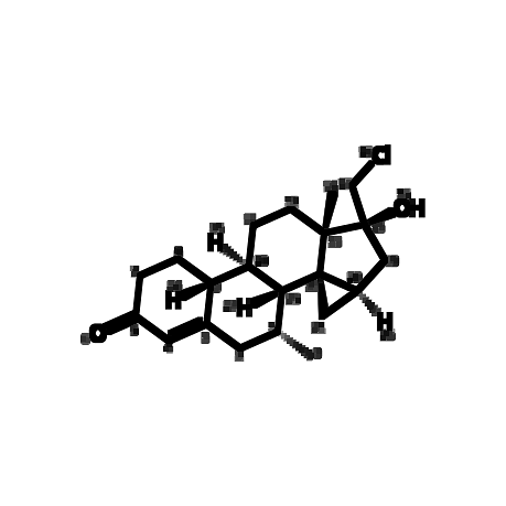 C[C@@H]1CC2=CC(=O)CC[C@@H]2[C@H]2CC[C@]3(C)[C@](O)(CCl)C[C@H]4C[C@]43[C@@H]21